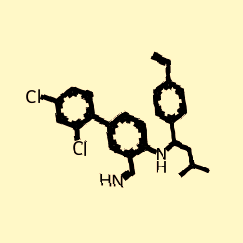 C=Cc1ccc(C(CC(C)C)Nc2ccc(-c3ccc(Cl)cc3Cl)cc2C=N)cc1